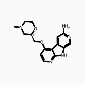 CN1CCO[C@@H](COc2ccnc3[nH]c4cnc(N)cc4c23)C1